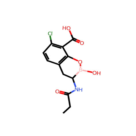 CCC(=O)NC1Cc2ccc(Cl)c(C(=O)O)c2OB1O